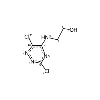 OCCNc1nc(Cl)nnc1Cl